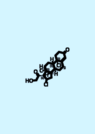 C[C@]12CC[C@H]3[C@@H](CCC4=CC(=O)CC[C@@]43C)[C@@H]1CC(Cl)[C@@H]2C(=O)CO